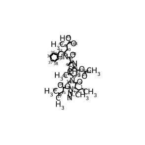 CC[C@H](C)[C@H](N=[N+]=[N-])C(=O)N(COC(=O)CC(C)C)[C@H](C[C@@H](OC(C)=O)c1nc(C(=O)N[C@@H](Cc2ccccc2)C[C@H](C)C(=O)O)cs1)C(C)C